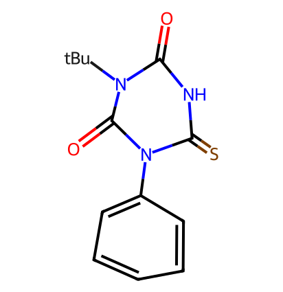 CC(C)(C)n1c(=O)[nH]c(=S)n(-c2ccccc2)c1=O